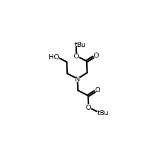 CC(C)(C)OC(=O)CN(CCO)CC(=O)OC(C)(C)C